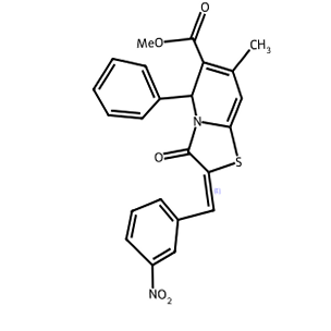 COC(=O)C1=C(C)C=c2s/c(=C/c3cccc([N+](=O)[O-])c3)c(=O)n2C1c1ccccc1